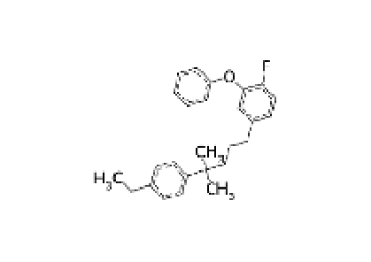 CCc1ccc(C(C)(C)CCCc2ccc(F)c(Oc3ccccc3)c2)cc1